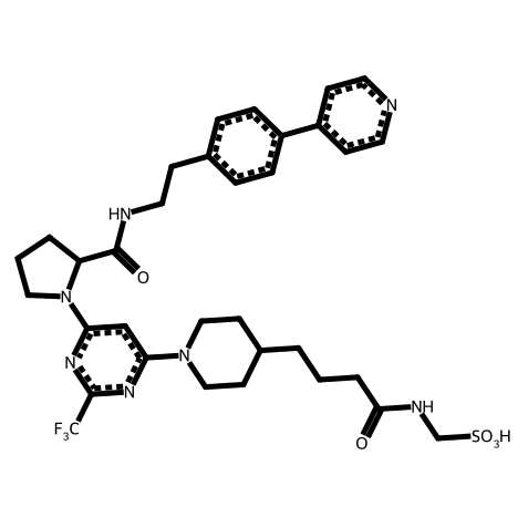 O=C(CCCC1CCN(c2cc(N3CCCC3C(=O)NCCc3ccc(-c4ccncc4)cc3)nc(C(F)(F)F)n2)CC1)NCS(=O)(=O)O